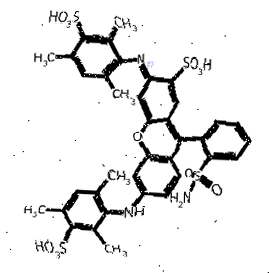 Cc1cc(C)c(S(=O)(=O)O)c(C)c1/N=c1\cc2oc3cc(Nc4c(C)cc(C)c(S(=O)(=O)O)c4C)ccc3c(-c3ccccc3S(N)(=O)=O)c-2cc1S(=O)(=O)O